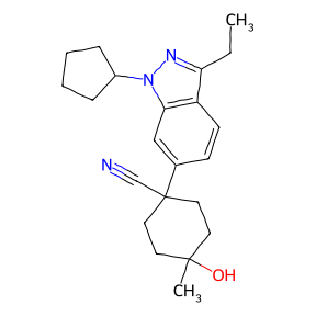 CCc1nn(C2CCCC2)c2cc(C3(C#N)CCC(C)(O)CC3)ccc12